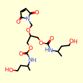 CC(CCO)NC(=O)OCC(COC(=O)NC(C)CCO)OCN1C(=O)C=CC1=O